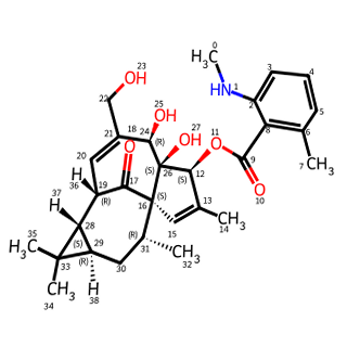 CNc1cccc(C)c1C(=O)O[C@H]1C(C)=C[C@]23C(=O)[C@@H](C=C(CO)[C@@H](O)[C@]12O)[C@@H]1[C@@H](C[C@H]3C)C1(C)C